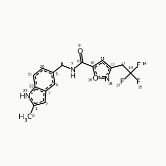 Cc1cc2cc(CNC(=O)c3cc(CC(F)(F)F)no3)ccc2[nH]1